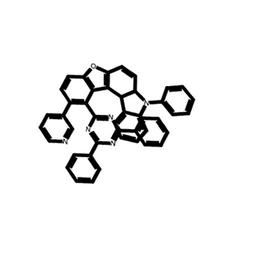 C1=CC2C(c3ccccc3N2c2ccccc2)c2c1oc1ccc(-c3cccnc3)c(-c3nc(-c4ccccc4)nc(-c4ccccc4)n3)c21